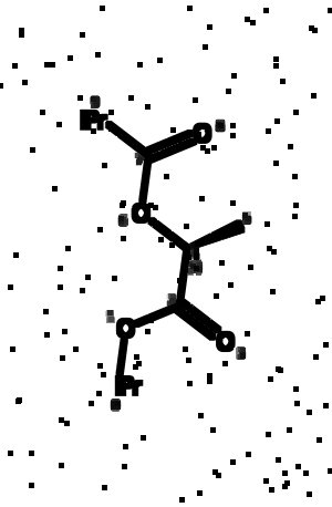 CC(C)OC(=O)[C@H](C)OC(=O)C(C)C